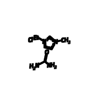 CC[n+]1ccn(C)c1.NC(N)=O.[Cl-]